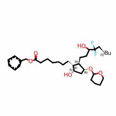 CC[C@H](C)CC(F)(F)C(O)CC[C@@H]1[C@@H](CCCCCCC(=O)OCc2ccccc2)[C@@H](O)C[C@H]1OC1CCCCO1